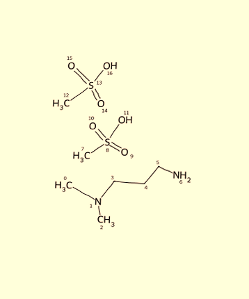 CN(C)CCCN.CS(=O)(=O)O.CS(=O)(=O)O